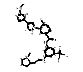 CNc1ncc(-c2cn(-c3cc(C(=O)Nc4cc(OCCC5CCCN5C)cc(C(F)(F)F)c4)ccc3C)nn2)s1